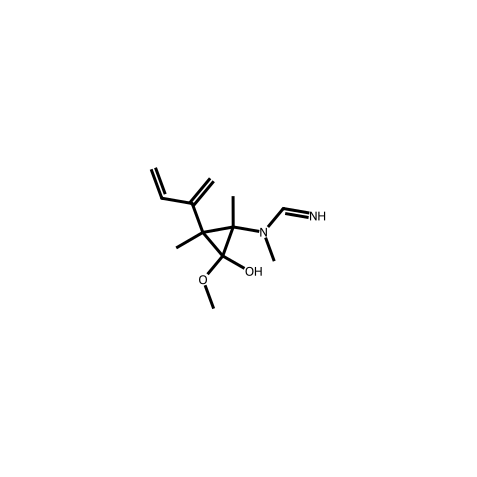 C=CC(=C)C1(C)C(O)(OC)C1(C)N(C)C=N